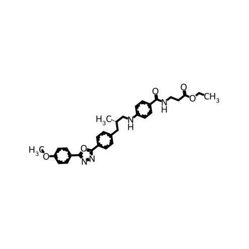 CCOC(=O)CCNC(=O)c1ccc(NC[C@@H](C)Cc2ccc(-c3nnc(-c4ccc(OC)cc4)o3)cc2)cc1